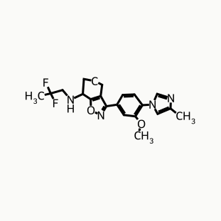 COc1cc(-c2noc3c2CCCC3NCC(C)(F)F)ccc1-n1cnc(C)c1